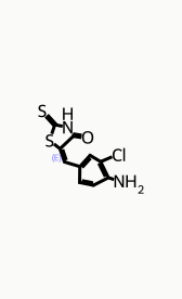 Nc1ccc(/C=C2/SC(=S)NC2=O)cc1Cl